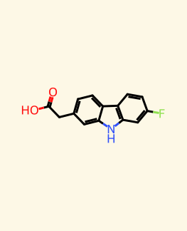 O=C(O)Cc1ccc2c(c1)[nH]c1cc(F)ccc12